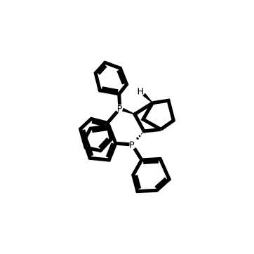 c1ccc(P(c2ccccc2)[C@H]2[C@@H]3CCC(C3)[C@@H]2P(c2ccccc2)c2ccccc2)cc1